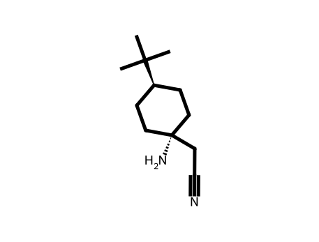 CC(C)(C)[C@H]1CC[C@@](N)(CC#N)CC1